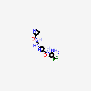 Nc1cc(C(F)(F)F)ccc1NC(=O)c1ccc(NCCNC(=O)c2cccnc2)nc1